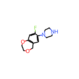 Fc1cc2c(cc1N1CCNCC1)COCCO2